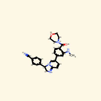 CNc1cc(C2=CN3C(=NCC3c3ccc(C#N)cc3)C=C2)ccc1C(=O)N1CCOCC1